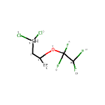 CCC(C[SiH](Cl)Cl)OC(F)(F)C(F)F